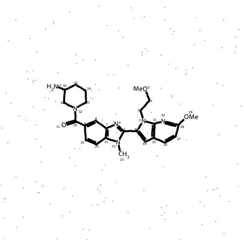 COCCn1c(-c2nc3cc(C(=O)N4CCCC(N)C4)ccc3n2C)cc2ccc(OC)nc21